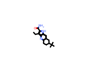 CCc1c(C(N)=O)[nH]c2cc3c(nc12)CCC(C(C)(C)C)C3